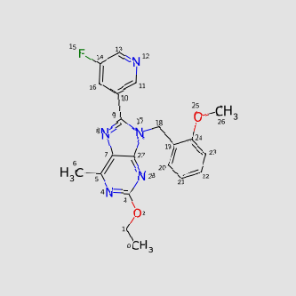 CCOc1nc(C)c2nc(-c3cncc(F)c3)n(Cc3ccccc3OC)c2n1